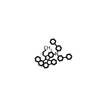 C=C/C=C\C1=C(c2cccc3ccccc23)C2(c3cc(N(c4cccc(-c5ccccc5)c4)c4cccc(-c5ccccc5)c4)ccc31)c1ccccc1-c1ccccc12